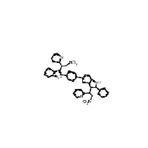 O=[N+]([O-])CC(c1ccccn1)c1c(-c2ccccc2)[nH]c2ccc(-c3ccc(-c4[nH]c5ccccc5c4[C@H](C[N+](=O)[O-])c4ccccn4)cc3)cc12